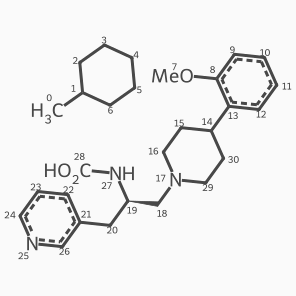 CC1CCCCC1.COc1ccccc1C1CCN(C[C@@H](Cc2cccnc2)NC(=O)O)CC1